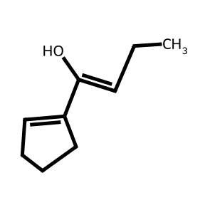 CCC=C(O)C1=CCCC1